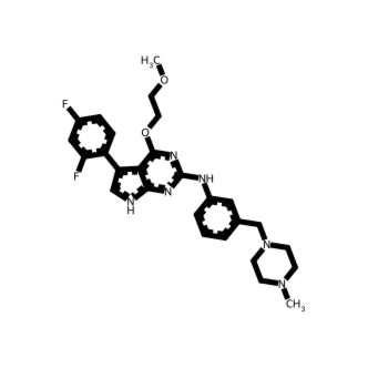 COCCOc1nc(Nc2cccc(CN3CCN(C)CC3)c2)nc2[nH]cc(-c3ccc(F)cc3F)c12